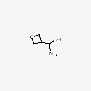 NC(O)C1COC1